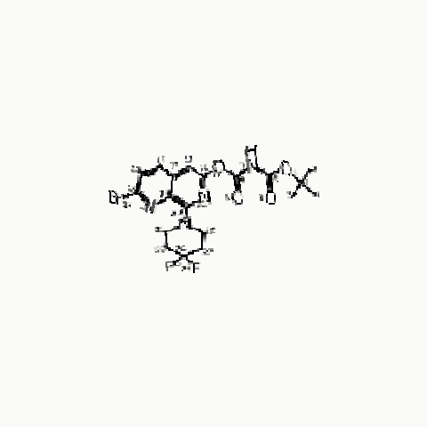 CC(C)(C)OC(=O)NC(=O)Oc1cc2ccc(Br)nc2c(N2CCC(F)(F)CC2)n1